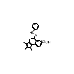 CC1=C(C)C(C)C(c2ccccc2[CH](C)[Ti][NH]c2ccccc2)=C1C.Cl.Cl